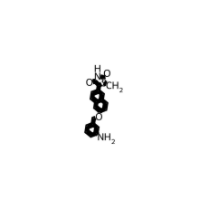 C=S1C(=O)NC(=O)C1c1ccc2cc(OCc3cccc(N)c3)ccc2c1